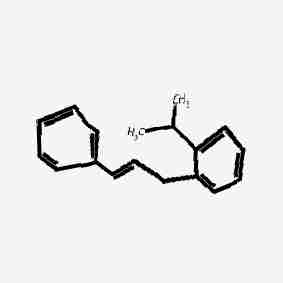 CC(C)c1ccccc1CC=Cc1ccccc1